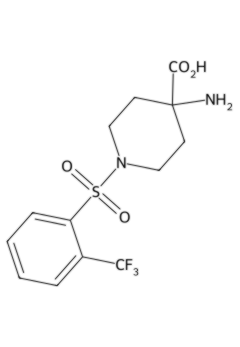 NC1(C(=O)O)CCN(S(=O)(=O)c2ccccc2C(F)(F)F)CC1